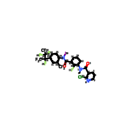 CN(C(=O)c1cccnc1Cl)c1cccc(C(=O)N(I)c2ccc(C(F)(C(F)(F)F)C(F)(F)C(F)(F)F)cc2C(F)(F)F)c1F